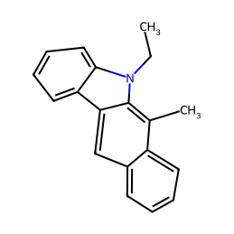 CCn1c2ccccc2c2cc3ccccc3c(C)c21